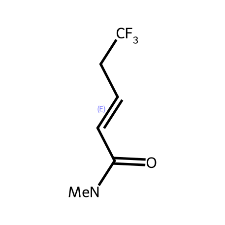 CNC(=O)/C=C/CC(F)(F)F